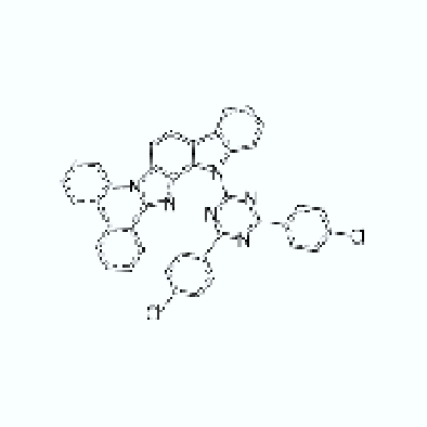 Clc1ccc(-c2nc(-c3ccc(Cl)cc3)nc(-n3c4ccccc4c4ccc5c(nc6c7ccccc7c7ccccc7n56)c43)n2)cc1